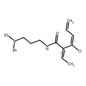 C=C/C=C(Cl)\C(=C/C)C(=O)NCCCN(CC)C(C)C